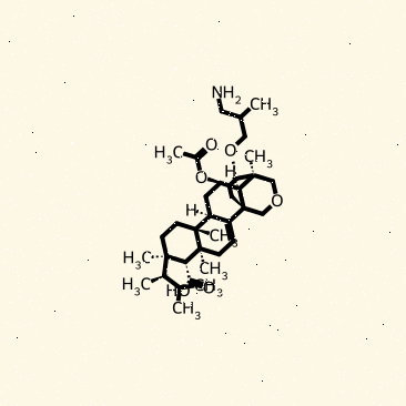 CC(=O)O[C@@H]1C[C@]23COC[C@@](C)([C@@H]2CC[C@H]2C3=CC[C@@]3(C)[C@H](C(=O)O)[C@@](C)([C@H](C)C(C)C)CC[C@]23C)[C@H]1OCC(C)CN